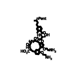 CCCCCC(C)CCc1ccc(C(=O)N[C@@H](CO)C(=O)N(C)[C@@H]2C(=O)N[C@@H](C)C(=O)N[C@H](C(=O)O)Cc3ccc(OCCN)c(c3)-c3cc2ccc3OCCN)c(C)c1